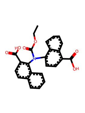 CCOC(=O)N(c1c(C(=O)O)ccc2ccccc12)c1ccc(C(=O)O)c2ccccc12